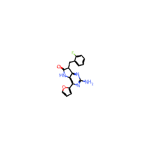 Nc1nc(-c2ccco2)c2c(n1)C(Cc1ccccc1F)C(=O)N2